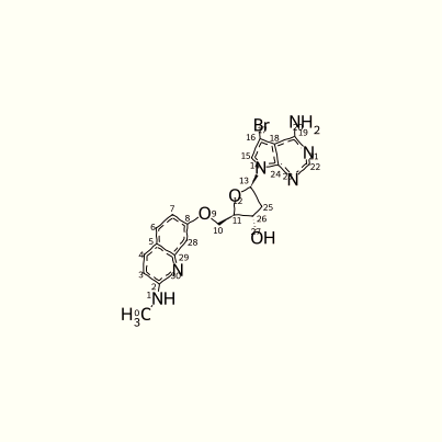 CNc1ccc2ccc(OC[C@H]3O[C@@H](n4cc(Br)c5c(N)ncnc54)C[C@@H]3O)cc2n1